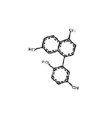 Oc1ccc(O)c(-c2ccc(O)c3ccc(O)cc23)c1